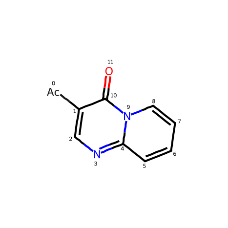 CC(=O)c1cnc2ccccn2c1=O